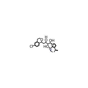 C=C(C)c1ccn(C(O)C(O)C(O)CC2OCCc3cc(Cl)ccc32)c1/N=C\C